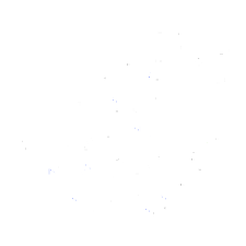 CC(Nc1ncc(C#N)c(/C(=C/N)c2cncc(C(F)(F)F)c2)n1)c1ccc(N2CCN(C(=O)OC(C)(C)C)CC2)cc1